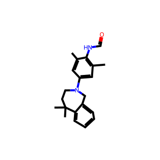 Cc1cc(N2CCC(C)(C)c3ccccc3C2)cc(C)c1NC=O